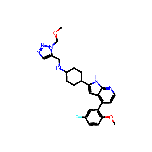 COCn1nncc1CNC1CCC(c2cc3c(-c4cc(F)ccc4OC)ccnc3[nH]2)CC1